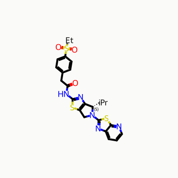 CCS(=O)(=O)c1ccc(CC(=O)Nc2nc3c(s2)CN(c2nc4cccnc4s2)[C@H]3C(C)C)cc1